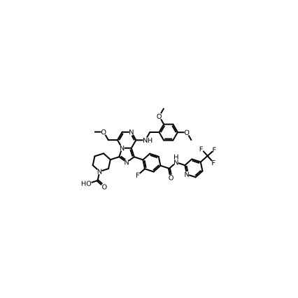 COCc1cnc(NCc2ccc(OC)cc2OC)c2c(-c3ccc(C(=O)Nc4cc(C(F)(F)F)ccn4)cc3F)nc(C3CCCN(C(=O)O)C3)n12